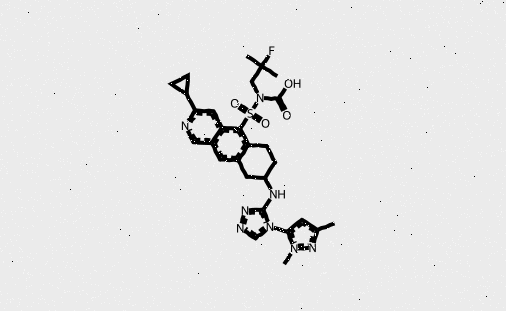 Cc1cc(-n2cnnc2NC2CCc3c(cc4cnc(C5CC5)cc4c3S(=O)(=O)N(CC(C)(C)F)C(=O)O)C2)n(C)n1